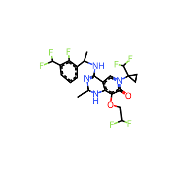 CC1N=C(N[C@H](C)c2cccc(C(F)F)c2F)c2cn(C3(C(F)F)CC3)c(=O)c(OCC(F)F)c2N1